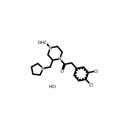 Cl.O=CN1CCN(C(=O)Cc2ccc(Cl)c(Cl)c2)C(CN2CCCC2)C1